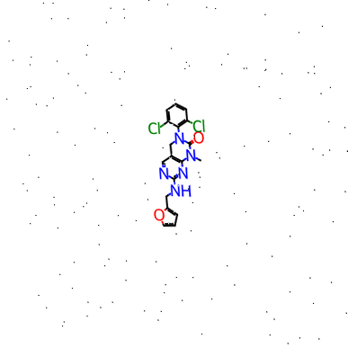 CN1C(=O)N(c2c(Cl)cccc2Cl)Cc2cnc(NCc3ccco3)nc21